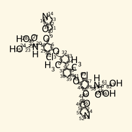 Cc1c(COc2cc(OCc3cc4ccncc4o3)c(CNC(CCO)C(=O)O)cc2Cl)cccc1-c1cccc(COc2cc(OCc3cc4ccncc4o3)c(CNC(CCO)C(=O)O)cc2Cl)c1C